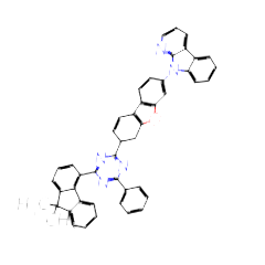 CC1(C)c2ccccc2-c2c(-c3nc(-c4ccccc4)nc(C4C=Cc5c(oc6cc(-n7c8ccccc8c8cccnc87)ccc56)C4)n3)cccc21